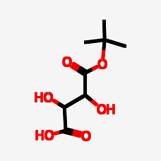 CC(C)(C)OC(=O)C(O)C(O)C(=O)O